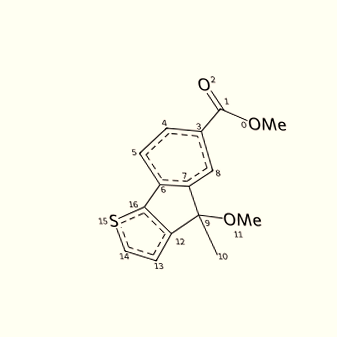 COC(=O)c1ccc2c(c1)C(C)(OC)c1ccsc1-2